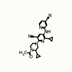 CC(=O)N1CCN(c2nc(C3CC3)c(Nc3cc(C#N)ccn3)cc2C#N)CC1C1CC1